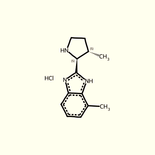 Cc1cccc2nc([C@H]3NCC[C@@H]3C)[nH]c12.Cl